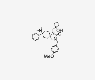 COc1ccc(CN2CC3(CCC(c4ccccc4)(N(C)C)CC3)N(CC3(O)CCC3)C2=O)cc1